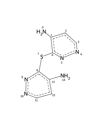 Nc1ccnnc1Sc1nnccc1N